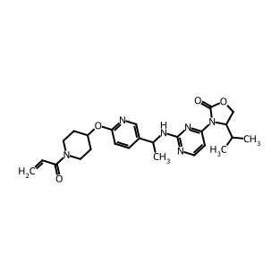 C=CC(=O)N1CCC(Oc2ccc(C(C)Nc3nccc(N4C(=O)OCC4C(C)C)n3)cn2)CC1